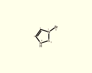 BrN1C=CNS1